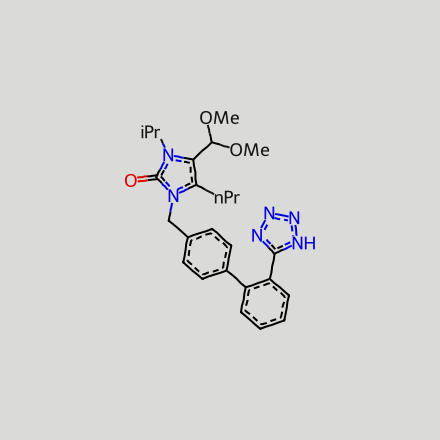 CCCc1c(C(OC)OC)n(C(C)C)c(=O)n1Cc1ccc(-c2ccccc2-c2nnn[nH]2)cc1